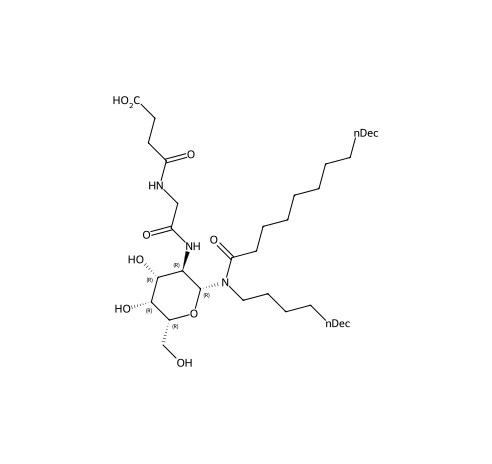 CCCCCCCCCCCCCCCCCC(=O)N(CCCCCCCCCCCCCC)[C@@H]1O[C@H](CO)[C@H](O)[C@H](O)[C@H]1NC(=O)CNC(=O)CCC(=O)O